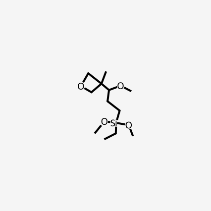 CC[Si](CCC(OC)C1(C)COC1)(OC)OC